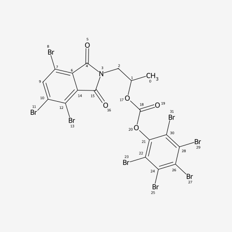 CC(CN1C(=O)c2c(Br)cc(Br)c(Br)c2C1=O)OC(=O)Oc1c(Br)c(Br)c(Br)c(Br)c1Br